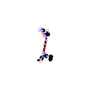 C=CC(=O)N1CCN(c2nc(OCCOCCOCCOCCNc3cccc4c3C(=O)N(C3CCC(=O)NC3=O)C4=O)nc3c2CCN(c2cccc4ccccc24)C3)CC1C